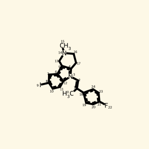 CC(=Cn1c2c(c3cc(I)ccc31)CN(C)CC2)c1ccc(F)cc1